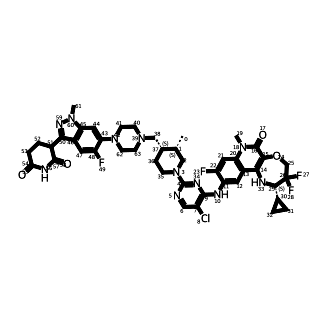 C[C@@H]1CN(c2ncc(Cl)c(Nc3cc4c5c(c(=O)n(C)c4cc3F)OCC(F)(F)[C@H](C3CC3)N5)n2)CC[C@@H]1CN1CCN(c2cc3c(cc2F)c(C2CCC(=O)NC2=O)nn3C)CC1